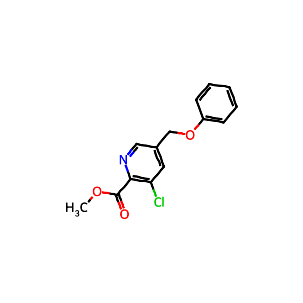 COC(=O)c1ncc(COc2ccccc2)cc1Cl